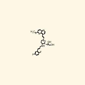 COc1ccc2nccc(C=C[C@@H]3CC[C@@H](NCC=Cc4cc(F)ccc4F)[C@@H](C[C@@H](O)CO)O3)c2n1